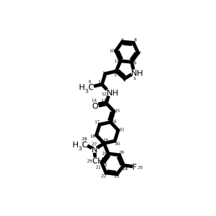 CC(Cc1c[nH]c2ccccc12)NC(=O)C=C1CCC(c2cccc(F)c2)(N(C)C)CC1